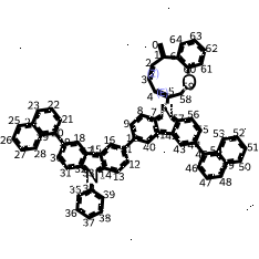 C=C1/C=C\C=C(\n2c3ccc(-c4ccc5c(c4)c4cc(-c6cccc7ccccc67)ccc4n5-c4ccccc4)cc3c3cc(-c4cccc5ccccc45)ccc32)COc2ccccc21